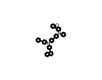 c1ccc(-c2ccc(N(c3ccc(-c4ccc(N(c5ccccc5)c5ccc6oc7ccccc7c6c5)cc4)cc3)c3ccc(-c4cccc5ccccc45)cc3)cc2)cc1